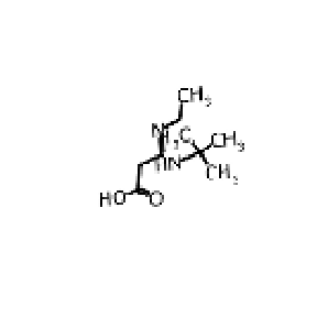 CCN=C(CC(=O)O)NC(C)(C)C